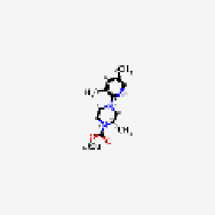 Cc1cnc(N2CCN(C(=O)OC(C)(C)C)[C@@H](C)C2)c(C)c1